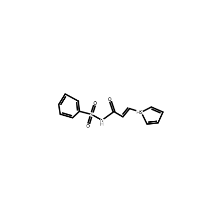 O=C(C=C[SH]1C=CC=C1)NS(=O)(=O)c1ccccc1